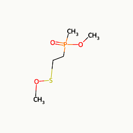 COSCCP(C)(=O)OC